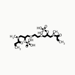 C=CC(=O)N(C)CC(COCCOCC(CN(C)C(=O)C=C)OP(=O)(O)O)OP(=O)(O)O